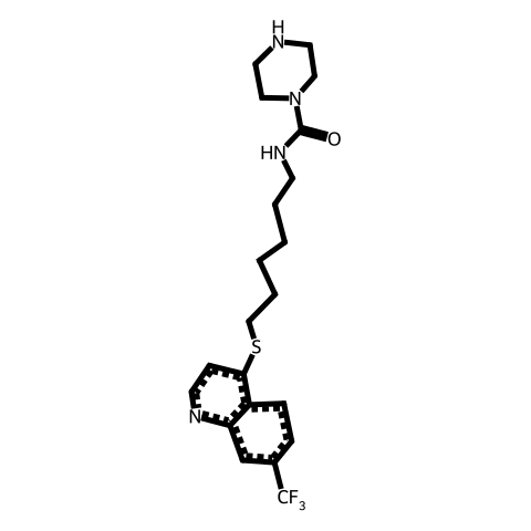 O=C(NCCCCCCSc1ccnc2cc(C(F)(F)F)ccc12)N1CCNCC1